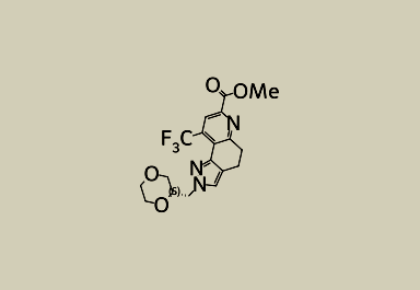 COC(=O)c1cc(C(F)(F)F)c2c(n1)CCc1cn(C[C@H]3COCCO3)nc1-2